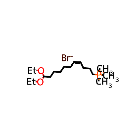 CCOC(CCCCC/C=C\CCC[P+](C)(C)C)OCC.[Br-]